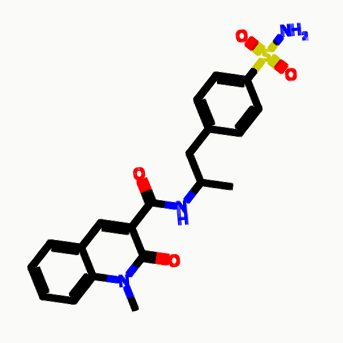 CC(Cc1ccc(S(N)(=O)=O)cc1)NC(=O)c1cc2ccccc2n(C)c1=O